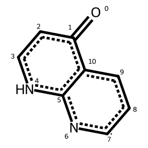 O=c1cc[nH]c2n[c]ccc12